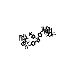 COC(=O)N[C@H](C(=O)N1CCC[C@H]1C(=O)NCc1ccc(-c2ccc(-c3ccc(CNC(=O)[C@@H]4CCCN4C(=O)[C@@H](NC(=O)OC)C(C)C)cc3)n2-c2ccc(C(C)(C)C)cc2)cc1)C(C)C